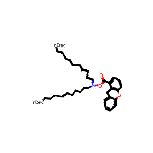 CCCCCCCCCCCCCCCCCCCCN(CCCCCCCCCCCCCCCCCCCC)OC(=O)c1cccc2c1Cc1ccccc1O2